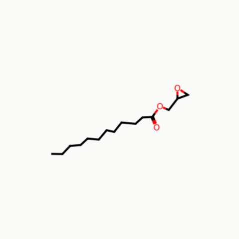 CCCCCCCCCCCC(=O)OCC1CO1